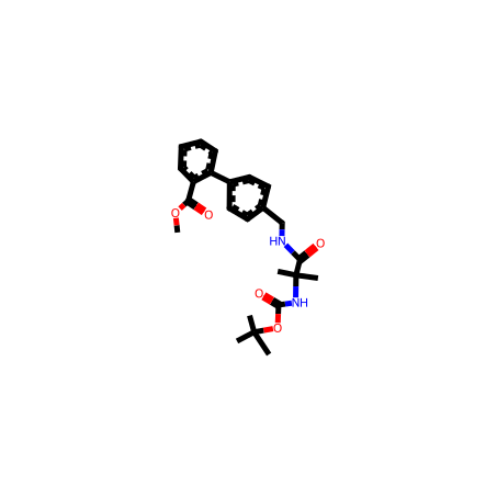 COC(=O)c1ccccc1-c1ccc(CNC(=O)C(C)(C)NC(=O)OC(C)(C)C)cc1